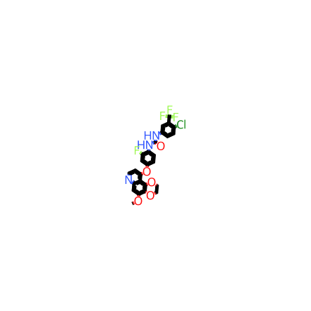 COc1cc2nccc(Oc3ccc(NC(=O)Nc4ccc(Cl)c(C(F)(F)F)c4)c(F)c3)c2c2c1OCCO2